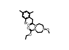 CCOC(=O)N1CCN(OC)CCN1C(=O)Cc1c(C)cc(C)cc1Br